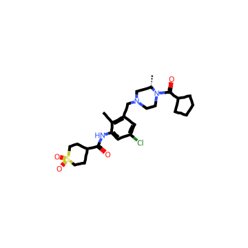 Cc1c(CN2CCN(C(=O)C3CCCC3)[C@@H](C)C2)cc(Cl)cc1NC(=O)C1CCS(=O)(=O)CC1